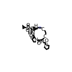 O=C1N[C@]2(C(=O)NS(=O)(=O)C3CC3)C[C@H]2/C=C\CCCCC[C@H](NC(=O)N2CCCC2)C(=O)N2CCC[C@@H]12